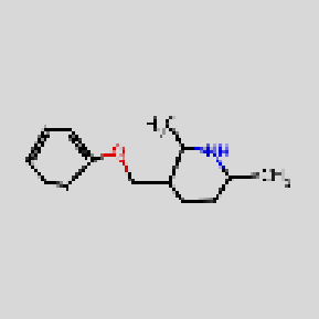 CC1CCC(COC2=CC=CC[CH]2)C(C)N1